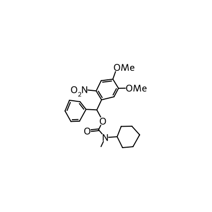 COc1cc(C(OC(=O)N(C)C2CCCCC2)c2ccccc2)c([N+](=O)[O-])cc1OC